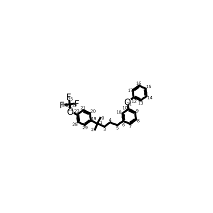 CC(C)(CCCc1cccc(Oc2ccccc2)c1)c1ccc(OC(F)(F)F)cc1